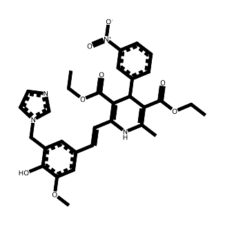 CCOC(=O)C1=C(C)NC(/C=C/c2cc(Cn3ccnc3)c(O)c(OC)c2)=C(C(=O)OCC)C1c1cccc([N+](=O)[O-])c1